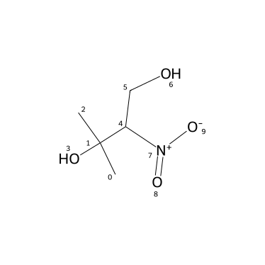 CC(C)(O)C(CO)[N+](=O)[O-]